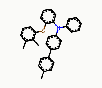 Cc1ccc(-c2ccc(N(c3ccccc3)c3ccccc3Sc3cccc(C)c3C)cc2)cc1